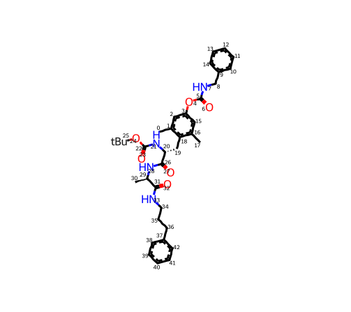 Cc1cc(OC(=O)NCc2ccccc2)cc(C)c1C[C@@H](NC(=O)OC(C)(C)C)C(=O)N[C@H](C)C(=O)NCCCc1ccccc1